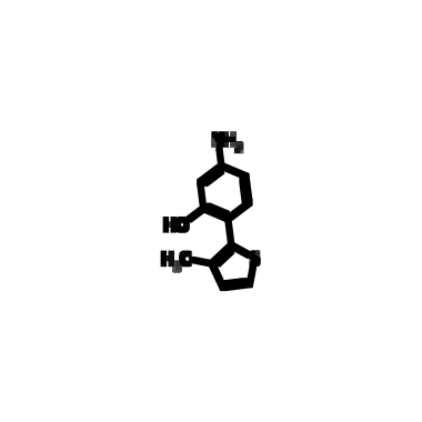 Cc1ccsc1-c1ccc(N)cc1O